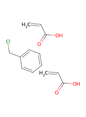 C=CC(=O)O.C=CC(=O)O.ClCc1ccccc1